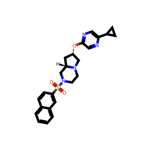 O=S(=O)(c1ccc2ccccc2c1)N1CCN2C[C@@H](Oc3cnc(C4CC4)cn3)C[C@H]2C1